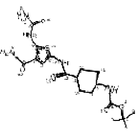 CC(C)(C)OC(=O)NC1CCC(C(=O)Nc2cc(C(N)=O)c(NC(N)=O)s2)CC1